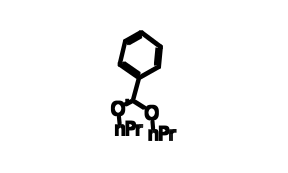 CCCO[C](OCCC)c1ccccc1